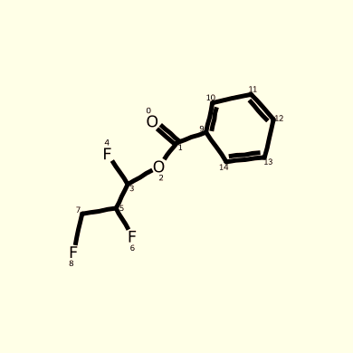 O=C(OC(F)C(F)CF)c1ccccc1